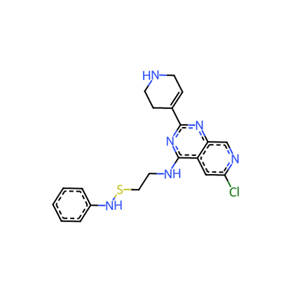 Clc1cc2c(NCCSNc3ccccc3)nc(C3=CCNCC3)nc2cn1